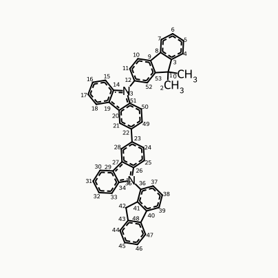 CC1(C)c2ccccc2-c2ccc(-n3c4ccccc4c4cc(-c5ccc6c(c5)c5ccccc5n6-c5cccc6c5Cc5ccccc5-6)ccc43)cc21